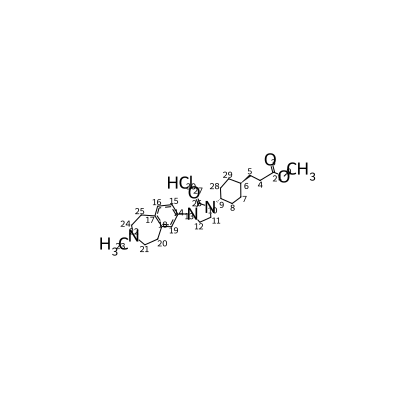 COC(=O)CC[C@H]1CC[C@H](N2CCN(c3ccc4c(c3)CCN(C)CC4)C2=O)CC1.Cl